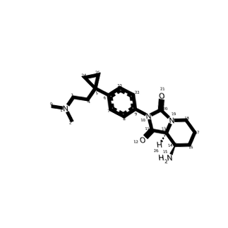 CN(C)CCC1(c2ccc(N3C(=O)[C@@H]4[C@H](N)CCCN4C3=O)cc2)CC1